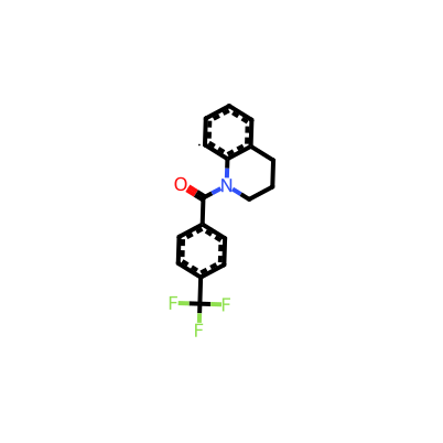 O=C(c1ccc(C(F)(F)F)cc1)N1CCCc2ccc[c]c21